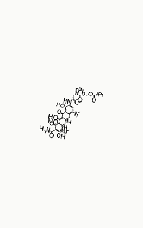 CCCN(CC(=O)Nc1cc(N(C)C)c2c(c1O)C(=O)C1=C(O)[C@]3(O)C(=O)C(C(N)=O)=C(O)[C@@H](N(C)C)[C@@H]3C[C@@H]1C2)C(=O)OCOC(=O)C(C)C